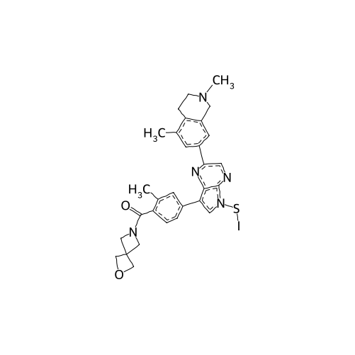 Cc1cc(-c2cn(SI)c3ncc(-c4cc(C)c5c(c4)CN(C)CC5)nc23)ccc1C(=O)N1CC2(COC2)C1